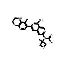 Cc1c(-c2cc3cc(N(C(=O)O)C4(C)COC4)ncc3c(N)n2)cnc2c1NCCO2